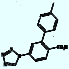 Cc1ccc(-c2cc(-n3cnnn3)ccc2C(=O)O)cc1